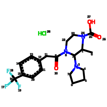 CC1C(N2CCCC2)N(C(=O)Cc2ccc(C(F)(F)F)cc2)CCN1C(=O)O.Cl